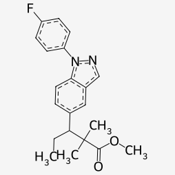 CCC(c1ccc2c(cnn2-c2ccc(F)cc2)c1)C(C)(C)C(=O)OC